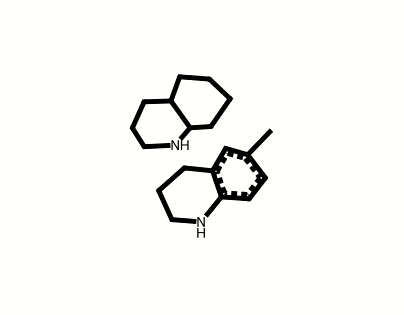 C1CCC2NCCCC2C1.Cc1ccc2c(c1)CCCN2